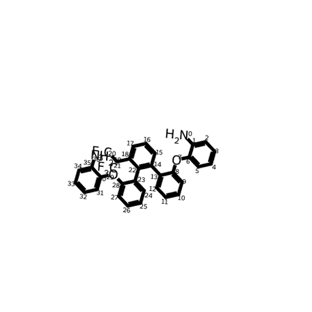 Nc1ccccc1Oc1ccccc1-c1cccc(C(C(F)(F)F)C(F)(F)F)c1-c1ccccc1Oc1ccccc1N